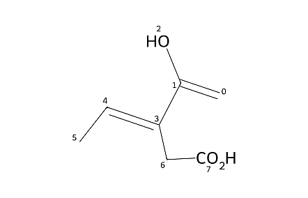 C=C(O)/C(=C/C)CC(=O)O